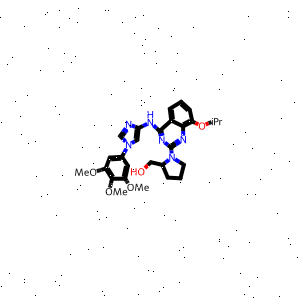 COc1cc(-n2cnc(Nc3nc(N4CCCC4CO)nc4c(OC(C)C)cccc34)c2)cc(OC)c1OC